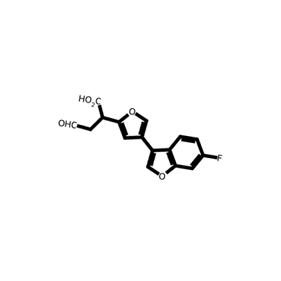 O=CCC(C(=O)O)c1cc(-c2coc3cc(F)ccc23)co1